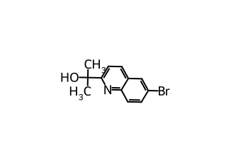 CC(C)(O)c1ccc2cc(Br)ccc2n1